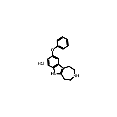 Cl.c1ccc(Oc2ccc3[nH]c4c(c3c2)CCNCC4)cc1